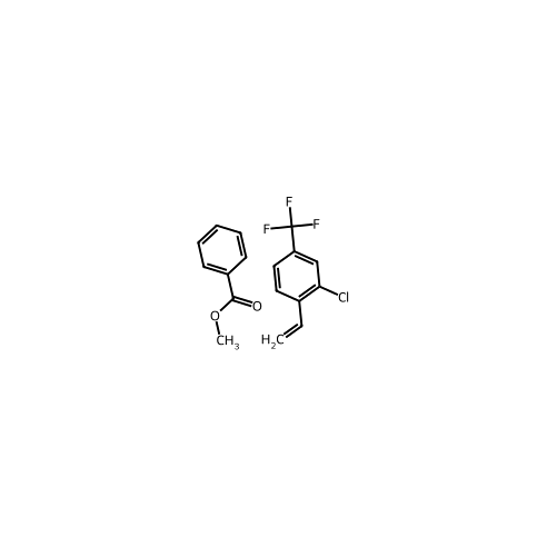 C=Cc1ccc(C(F)(F)F)cc1Cl.COC(=O)c1ccccc1